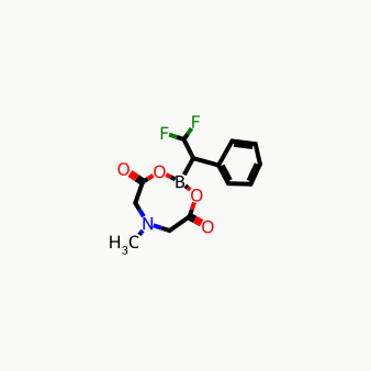 CN1CC(=O)OB(C(c2ccccc2)C(F)F)OC(=O)C1